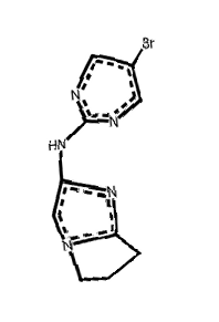 Brc1cnc(Nc2cn3c(n2)CCC3)nc1